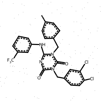 Cc1ccc(Cn2c(Nc3cccc(C(F)(F)F)c3)nc(=O)n(Cc3ccc(Cl)c(Cl)c3)c2=O)cc1